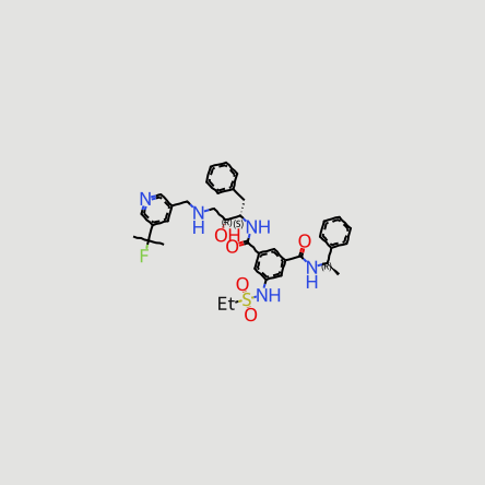 CCS(=O)(=O)Nc1cc(C(=O)N[C@@H](Cc2ccccc2)[C@H](O)CNCc2cncc(C(C)(C)F)c2)cc(C(=O)N[C@H](C)c2ccccc2)c1